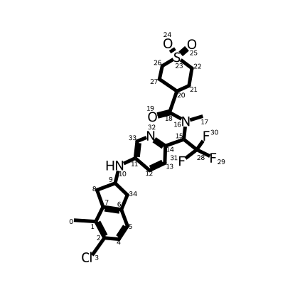 Cc1c(Cl)ccc2c1CC(Nc1ccc(C(N(C)C(=O)C3CCS(=O)(=O)CC3)C(F)(F)F)nc1)C2